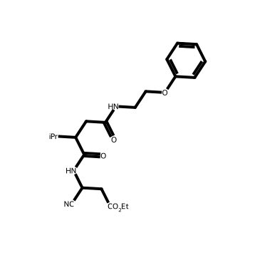 CCOC(=O)CC(C#N)NC(=O)C(CC(=O)NCCOc1ccccc1)C(C)C